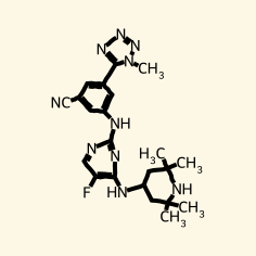 Cn1nnnc1-c1cc(C#N)cc(Nc2ncc(F)c(NC3CC(C)(C)NC(C)(C)C3)n2)c1